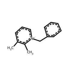 Cc1ccc[n+](Cc2ccccc2)c1C